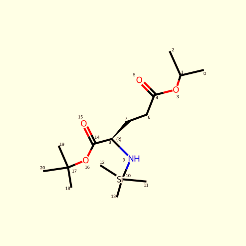 CC(C)OC(=O)CC[C@@H](N[Si](C)(C)C)C(=O)OC(C)(C)C